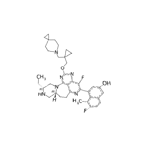 CC[C@@H]1CN2c3nc(OCC4(CN5CCC6(CC5)CC6)CC4)nc4c(F)c(-c5cc(O)cc6ccc(F)c(C)c56)nc(c34)CC[C@@H]2CN1